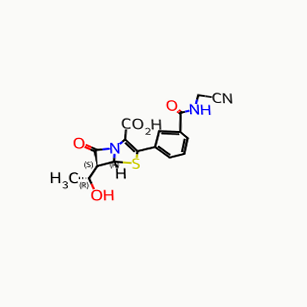 C[C@@H](O)[C@H]1C(=O)N2C(C(=O)O)=C(c3cccc(C(=O)NCC#N)c3)S[C@H]12